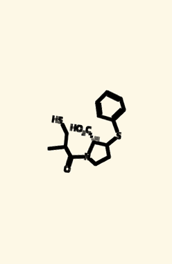 CC(CS)C(=O)N1CCC(Sc2ccccc2)[C@H]1C(=O)O